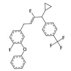 FC(=CCc1ccc(F)c(Oc2ccccc2)c1)C(c1ccc(C(F)(F)F)cc1)C1CC1